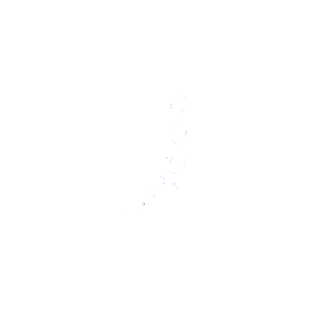 F[C@H]1CO[C@H]2C1OC[C@H]2Oc1nc2nc(-c3ccc(-c4ccccc4)cc3)c(Cl)cc2[nH]1